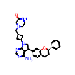 Nc1ncnc2c1c(-c1ccc3c(c1)O[C@@H](c1ccccc1)CC3)cn2C1CC(CN2CCNC(=O)C2)C1